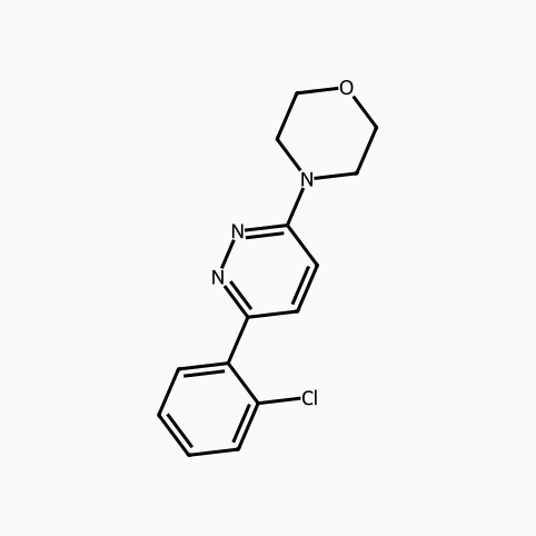 Clc1ccccc1-c1ccc(N2CCOCC2)nn1